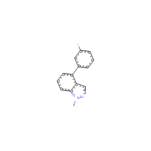 Cn1ncc2c(-c3cccc(F)c3)cccc21